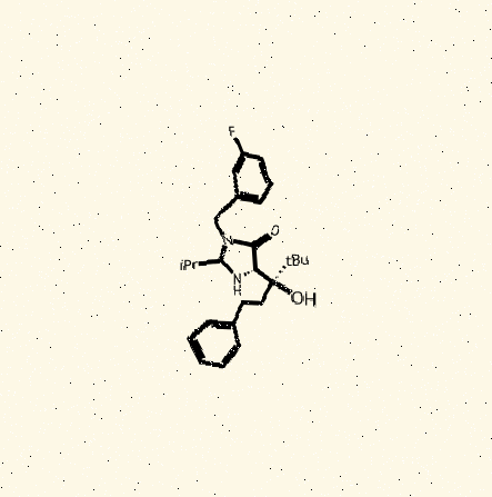 CC(C)C1N[C@@H]([C@@](O)(CCc2ccccc2)C(C)(C)C)C(=O)N1Cc1cccc(F)c1